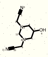 N#CCN1CC(O)CN(CC#N)C1